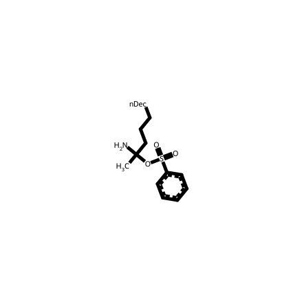 CCCCCCCCCCCCCC(C)(N)OS(=O)(=O)c1ccccc1